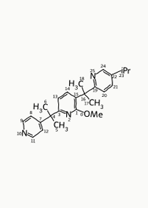 COc1nc(C(C)(C)c2ccncc2)ccc1C(C)(C)c1ccc(C(C)C)cn1